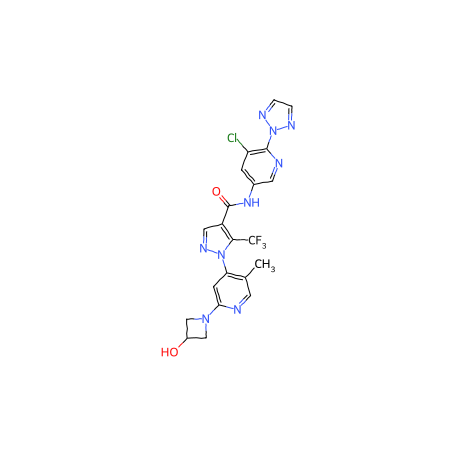 Cc1cnc(N2CC(O)C2)cc1-n1ncc(C(=O)Nc2cnc(-n3nccn3)c(Cl)c2)c1C(F)(F)F